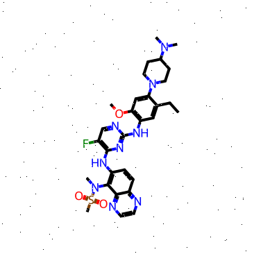 CCc1cc(Nc2ncc(F)c(Nc3ccc4nccnc4c3N(C)S(C)(=O)=O)n2)c(OC)cc1N1CCC(N(C)C)CC1